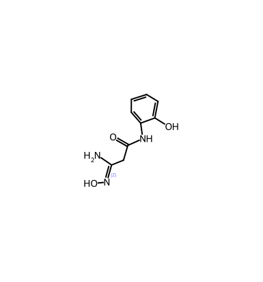 N/C(CC(=O)Nc1ccccc1O)=N\O